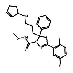 CONC(=O)N1N=C(c2cc(F)ccc2F)SC1(CCCNC1C=CCC1)c1ccccc1